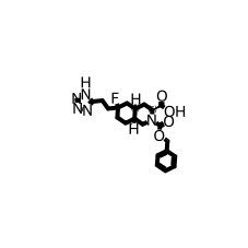 O=C(O)[C@@H]1C[C@H]2CC(F)(CCc3nnn[nH]3)CC[C@H]2CN1C(=O)OCc1ccccc1